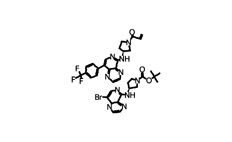 C=CC(=O)N1CC[C@H](Nc2ncc(-c3ccc(C(F)(F)F)cc3)c3nccnc23)C1.CC(C)(C)OC(=O)N1CC[C@H](Nc2ncc(Br)c3nccnc23)C1